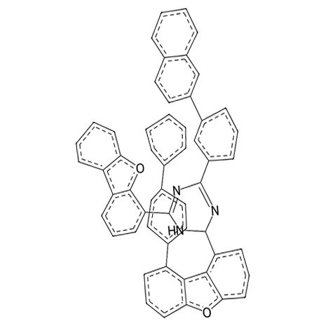 c1ccc(-c2ccc(-c3cccc4oc5cccc(C6N=C(c7cccc(-c8ccc9ccccc9c8)c7)N=C(c7cccc8c7oc7ccccc78)N6)c5c34)cc2)cc1